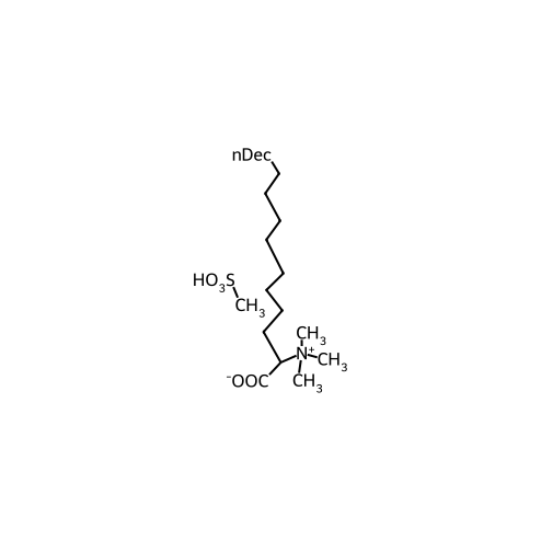 CCCCCCCCCCCCCCCCCCC(C(=O)[O-])[N+](C)(C)C.CS(=O)(=O)O